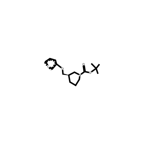 CC(C)(C)OC(=O)N1CCC[C@@H](COc2ccccc2)C1